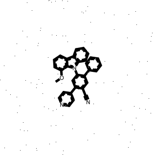 COc1cccc2c3ccccc3n(-c3cc(-c4ccncc4)c(C#N)cc3-c3ccccc3)c12